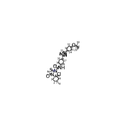 Cc1ccc(N2C(=O)CS/C2=N\C(=O)Nc2ccc(-c3ncn(-c4ccc(OC(C)(C)F)cc4)n3)cc2)c(Cl)c1